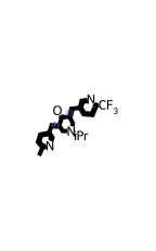 Cc1ccc(/C=C2\CN(C(C)C)C/C(=C\c3ccc(C(F)(F)F)nc3)C2=O)cn1